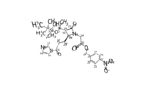 C[C@@H](O[Si](C)(C)C(C)(C)C)[C@H]1C(=O)N(CC(=O)OCc2ccc([N+](=O)[O-])cc2)[C@H]1CCC(=O)n1ccnc1